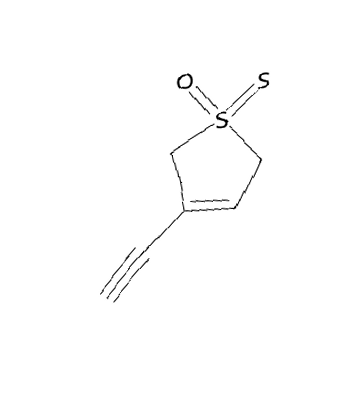 C#CC1=CCS(=O)(=S)C1